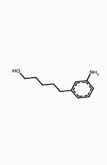 Nc1cccc(CCCCCO)c1